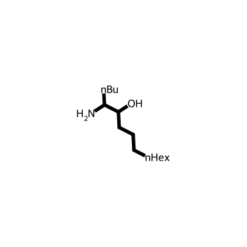 CCCCCCCCCC(O)C(N)CCCC